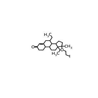 CCC1CC2=CC(=O)CCC2C2CCC3(CC)C(CCC3(C)OCCI)C12